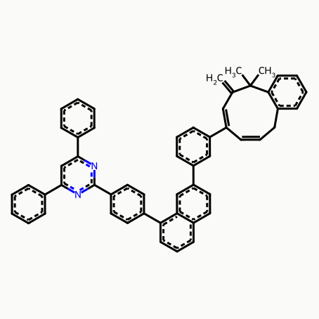 C=C1/C=C(c2cccc(-c3ccc4cccc(-c5ccc(-c6nc(-c7ccccc7)cc(-c7ccccc7)n6)cc5)c4c3)c2)\C=C/Cc2ccccc2C1(C)C